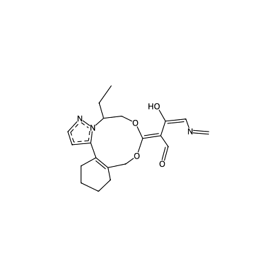 C=N/C=C(O)\C(C=O)=C1\OCC2=C(CCCC2)c2ccnn2C(CC)CO1